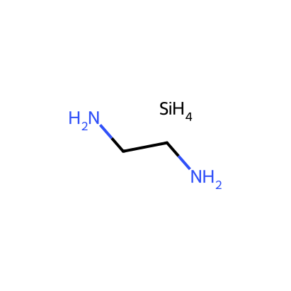 NCCN.[SiH4]